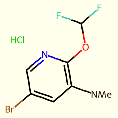 CNc1cc(Br)cnc1OC(F)F.Cl